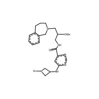 COC(CNC(=O)c1cc(NC2CN(C(C)=O)C2)ncn1)CN1CCCc2ccccc2C1